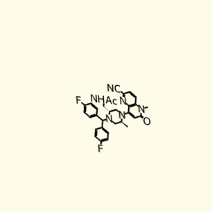 CC(=O)NC[C@@H]1CN(c2cc(=O)n(C)c3ccc(C#N)nc23)[C@@H](C)CN1C(c1ccc(F)cc1)c1ccc(F)cc1